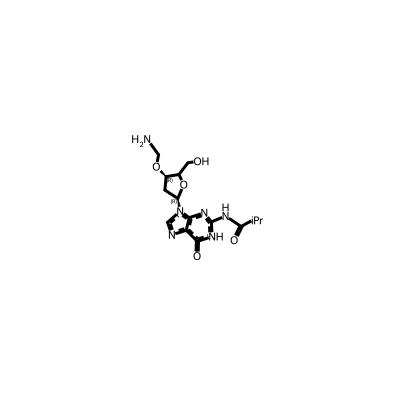 CC(C)C(=O)Nc1nc2c(ncn2[C@H]2C[C@@H](OCN)C(CO)O2)c(=O)[nH]1